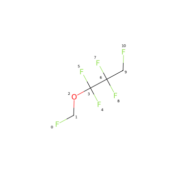 FCOC(F)(F)C(F)(F)CF